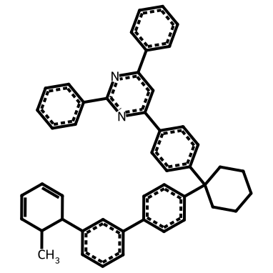 CC1C=CC=CC1c1cccc(-c2ccc(C3(c4ccc(-c5cc(-c6ccccc6)nc(-c6ccccc6)n5)cc4)CCCCC3)cc2)c1